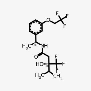 CC(C)[C@](O)(CC(=O)N[C@@H](C)c1cccc(OCC(F)(F)F)c1)C(F)(F)F